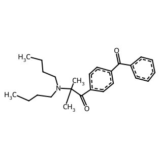 CCCCN(CCCC)C(C)(C)C(=O)c1ccc(C(=O)c2ccccc2)cc1